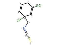 S=C=NCC1(Cl)C=CCC(Cl)=C1